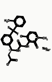 Cc1ccccc1C(F)(F)c1cccc([C@@H](CC(=O)[O-])NC(=O)Nc2c([O-])ccn(C)c2=O)c1.[Na+].[Na+]